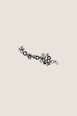 Cc1ccc(C(C)C)c(N2C(=O)CSC2=NC(=O)Nc2ccc(CNc3ncn(-c4ccc(OC(F)(F)F)cc4)n3)cc2)c1